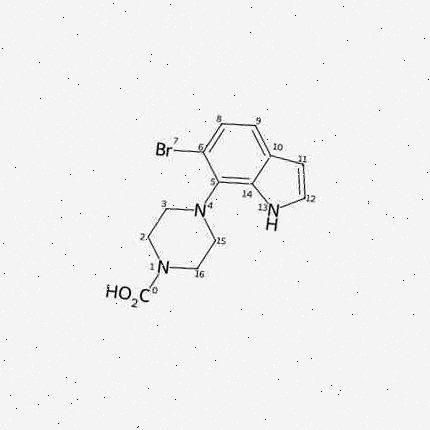 O=C(O)N1CCN(c2c(Br)ccc3cc[nH]c23)CC1